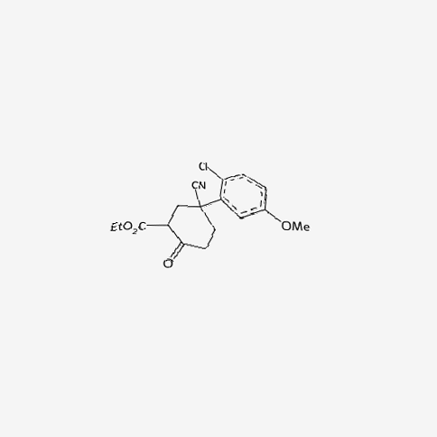 CCOC(=O)C1CC(C#N)(c2cc(OC)ccc2Cl)CCC1=O